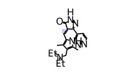 CCN(CC)Cc1c(C)[nH]c(/C=C2/C(=O)NN=C2c2ccnnc2)c1C